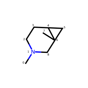 CN1CCC2CC2(C)C1